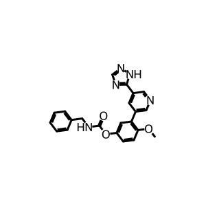 COc1ccc(OC(=O)NCc2ccccc2)cc1-c1cncc(-c2ncn[nH]2)c1